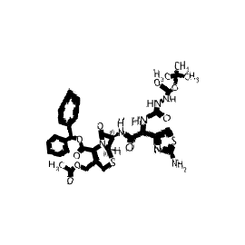 CC(=O)OCC1=C(C(=O)OC(c2ccccc2)c2ccccc2)N2C(=O)[C@@H](NC(=O)C(NC(=O)NNC(=O)OC(C)(C)C)c3csc(N)n3)[C@H]2SC1